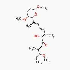 CC[C@H](OC)[C@@H](C)[C@H]1O[C@@H]1[C@H](O)[C@@H](C)/C=C/C=C(\C)[C@H]1O[C@@H](OC)CC[C@@H]1OC